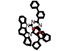 c1ccc(-c2cccc(-c3nc(-c4cccc(-c5ccccc5)c4)nc(-n4c5ccccc5c5ccc6c7ccccc7n(-c7cccc(-c8ccccc8)c7)c6c54)n3)c2)cc1